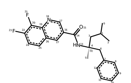 CC(C)C[C@@](C)(Cc1ccccc1)NC(=O)c1cnc2c(F)c(F)ccc2c1